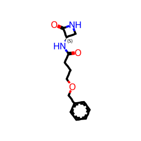 O=C(CCCOCc1ccccc1)N[C@H]1CNC1=O